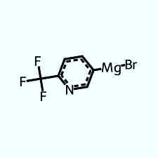 FC(F)(F)c1cc[c]([Mg][Br])cn1